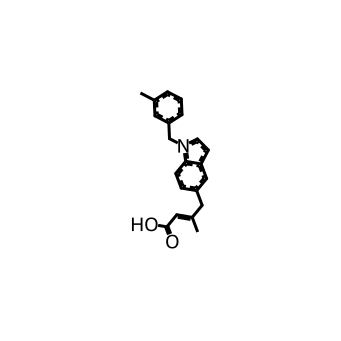 CC(=CC(=O)O)Cc1ccc2c(ccn2Cc2cccc(C)c2)c1